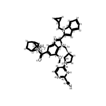 COc1cc(C(=O)N2CC3CCC2[C@@H]3N)cc2nc(-c3cc4ccccc4n3CC3CC3)n(C[C@H]3CCN(c4ccnc(C#N)n4)C3)c12